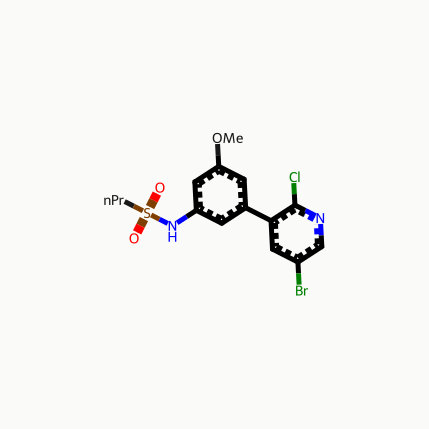 CCCS(=O)(=O)Nc1cc(OC)cc(-c2cc(Br)cnc2Cl)c1